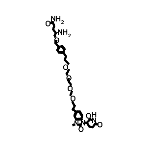 Cn1c(=O)n(C2CCC(=O)NC2=O)c2ccc(CCCOCCOCCOCCOCCCc3ccc(COC[C@@H](N)CCC(N)=O)cc3)cc21